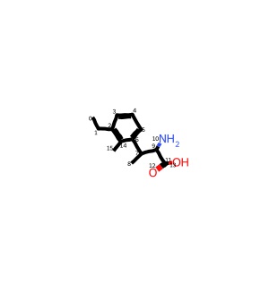 CCc1cccc(C(C)C(N)C(=O)O)c1C